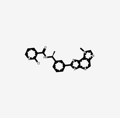 C[C@H](NC(=O)c1cccnc1Cl)c1cccc(-c2nc3c(ncc4ncn(C)c43)s2)c1